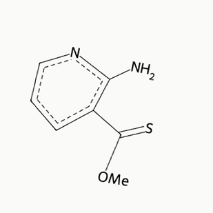 COC(=S)c1cccnc1N